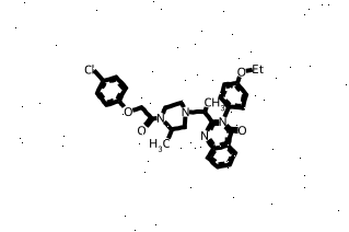 CCOc1ccc(-n2c(C(C)N3CCN(C(=O)COc4ccc(Cl)cc4)C(C)C3)nc3ccccc3c2=O)cc1